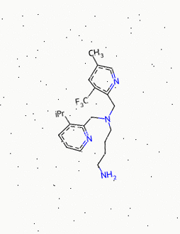 Cc1cnc(CN(CCCCN)Cc2ncccc2C(C)C)c(C(F)(F)F)c1